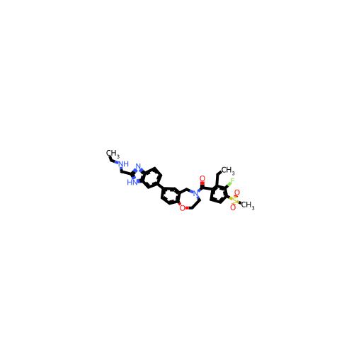 CCNCc1nc2ccc(-c3ccc4c(c3)CN(C(=O)c3ccc(S(C)(=O)=O)c(F)c3CC)CCO4)cc2[nH]1